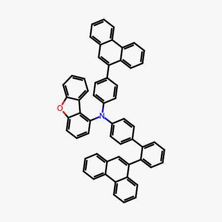 c1ccc(-c2cc3ccccc3c3ccccc23)c(-c2ccc(N(c3ccc(-c4cc5ccccc5c5ccccc45)cc3)c3cccc4oc5ccccc5c34)cc2)c1